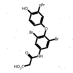 CCCc1cc(Oc2c(Br)cc(NC(=O)CC(=O)O)cc2Br)ccc1O